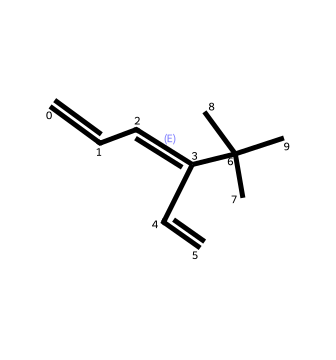 C=C/C=C(\C=C)C(C)(C)C